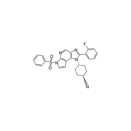 N#C[C@H]1CC[C@H](n2c(-c3ccccc3F)nc3cnc4c(ccn4S(=O)(=O)c4ccccc4)c32)CC1